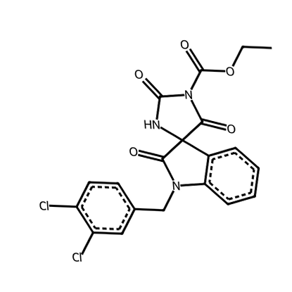 CCOC(=O)N1C(=O)NC2(C1=O)C(=O)N(Cc1ccc(Cl)c(Cl)c1)c1ccccc12